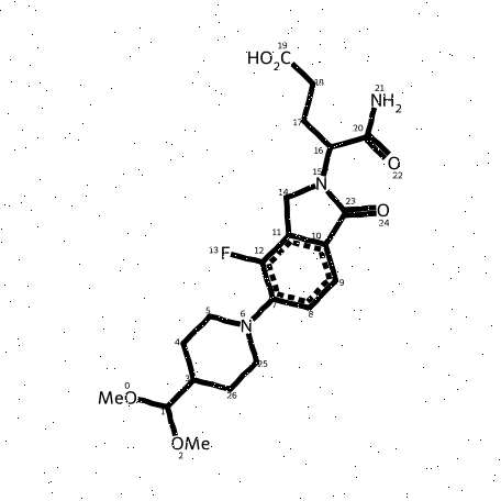 COC(OC)C1CCN(c2ccc3c(c2F)CN(C(CCC(=O)O)C(N)=O)C3=O)CC1